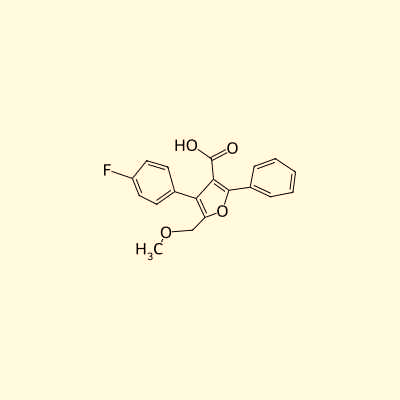 COCc1oc(-c2ccccc2)c(C(=O)O)c1-c1ccc(F)cc1